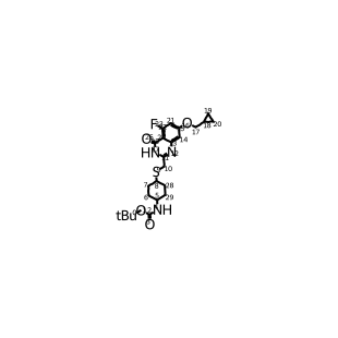 CC(C)(C)OC(=O)NC1CCC(SCc2nc3cc(OCC4CC4)cc(F)c3c(=O)[nH]2)CC1